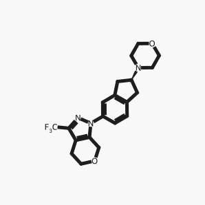 FC(F)(F)c1nn(-c2ccc3c(c2)C[C@@H](N2CCOCC2)C3)c2c1CCOC2